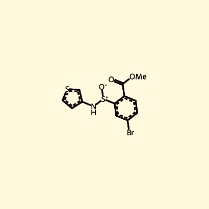 COC(=O)c1ccc(Br)cc1[S+]([O-])Nc1ccsc1